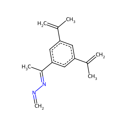 C=NN=C(C)c1cc(C(=C)C)cc(C(=C)C)c1